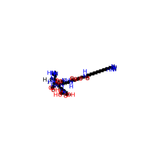 CN[C@@H](Cc1c[nH]cn1)C(=O)N[C@@H](CCC(=O)O)C(=O)N[C@@H](CCCCN(CC(=O)O)CC(=O)O)C(=O)N[C@@H](CCCCNC(=O)COCCOCCNC(=O)CCCCCCCCCCCCCCCc1nnn[nH]1)C(N)=O